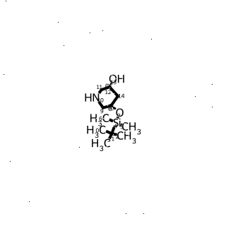 CC(C)(C)[Si](C)(C)O[C@H]1CNC[C@H](O)C1